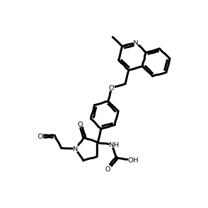 Cc1cc(COc2ccc(C3(NC(=O)O)CCN(CC=O)C3=O)cc2)c2ccccc2n1